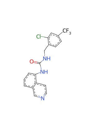 O=C(NCc1ccc(C(F)(F)F)cc1Cl)Nc1cccc2cnccc12